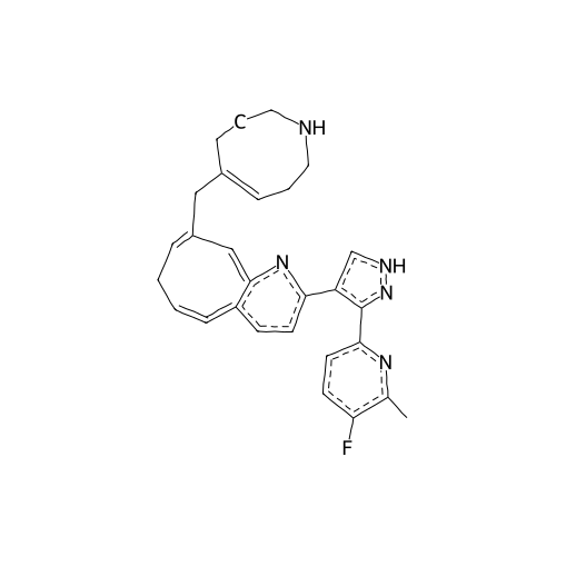 Cc1nc(-c2n[nH]cc2-c2ccc3/c(n2)=C\C(C/C2=C/CCNCCC2)=C/CC=C=3)ccc1F